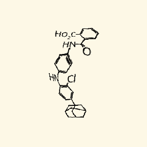 O=C(O)c1ccccc1C(=O)Nc1ccc(Nc2ccc(C34CC5CC(CC(C5)C3)C4)cc2Cl)cc1